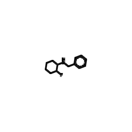 FC1CCCCC1NCc1ccccc1